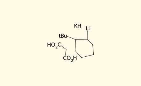 O=C(O)CC(=O)O.[KH].[Li][CH]1CCCCC1C(C)(C)C